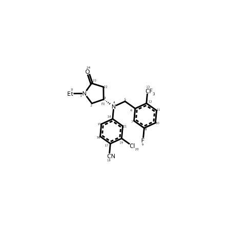 CCN1C[C@@H](N(Cc2cc(F)ccc2C(F)(F)F)c2ccc(C#N)c(Cl)c2)CC1=O